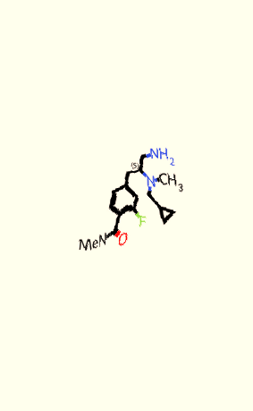 CNC(=O)c1ccc(C[C@@H](CN)N(C)CC2CC2)cc1F